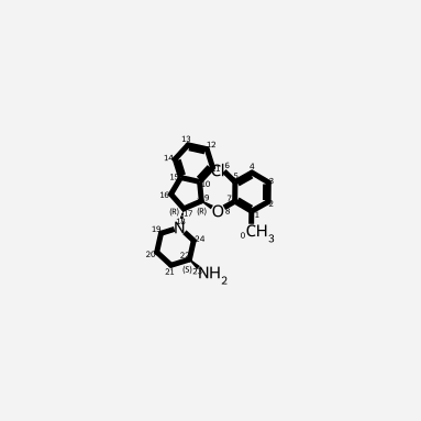 Cc1cccc(Cl)c1O[C@@H]1c2ccccc2C[C@H]1N1CCC[C@H](N)C1